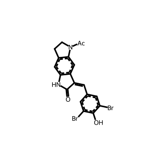 CC(=O)N1CCc2cc3c(cc21)C(=Cc1cc(Br)c(O)c(Br)c1)C(=O)N3